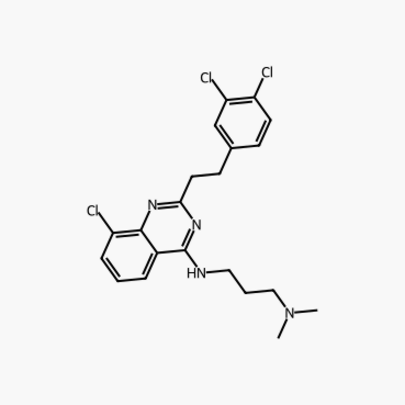 CN(C)CCCNc1nc(CCc2ccc(Cl)c(Cl)c2)nc2c(Cl)cccc12